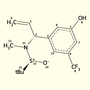 C=C[C@H](c1cc(O)cc(C(F)(F)F)c1)N(C)[S@@+]([O-])C(C)(C)C